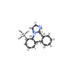 C[Si](C)(C)c1cccc2c3ccccc3c3nccn3c12